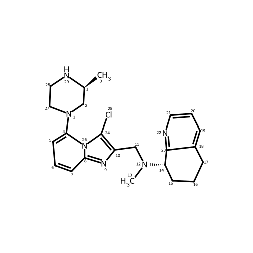 C[C@H]1CN(c2cccc3nc(CN(C)[C@H]4CCCc5cccnc54)c(Cl)n23)CCN1